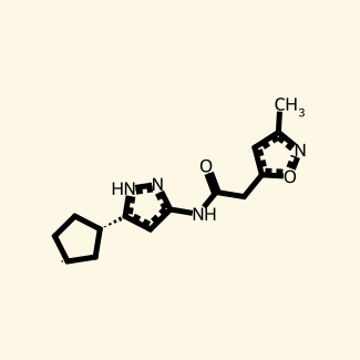 Cc1cc(CC(=O)Nc2cc([C@@H]3C[CH]CC3)[nH]n2)on1